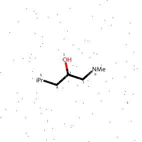 CNCC(O)CC(C)C